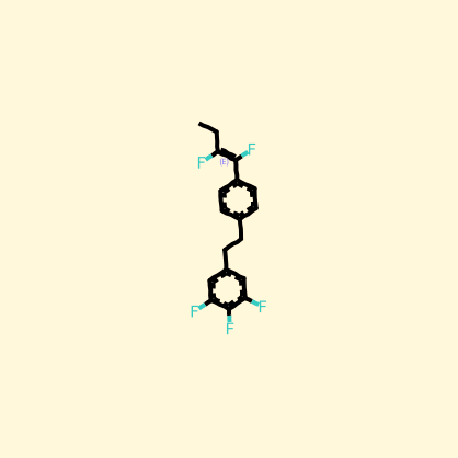 CC/C(F)=C(\F)c1ccc(CCc2cc(F)c(F)c(F)c2)cc1